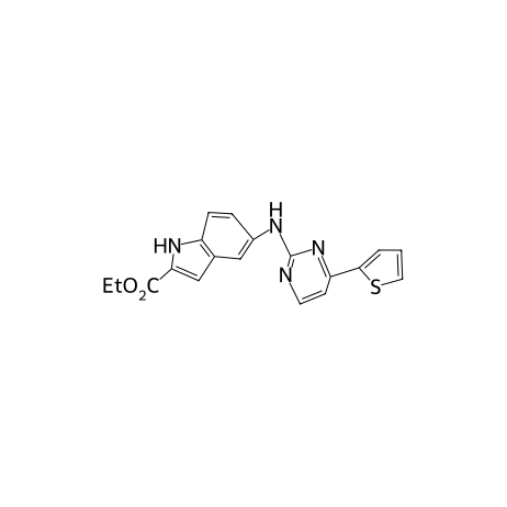 CCOC(=O)c1cc2cc(Nc3nccc(-c4cccs4)n3)ccc2[nH]1